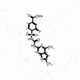 COC(=O)C1=CC(=S)C(S(=O)(=O)NC(=O)Nc2nc(C)c3cc(C)oc3n2)C=C1